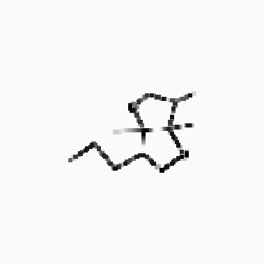 CCCC1COC2(C)C(C)COC12C